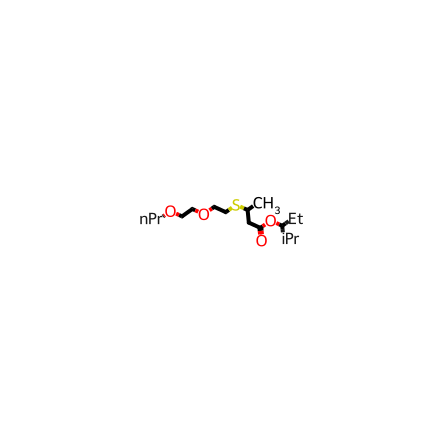 CCCOCCOCCSC(C)CC(=O)OC(CC)C(C)C